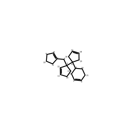 C1=CC[C](C2(C3(CC4=CCCC4)C=CCC3)CC=CC2)CC1